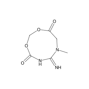 CN1CC(=O)OCOC(=O)NC1=N